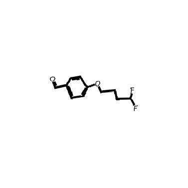 O=Cc1ccc(OCCCC(F)F)cc1